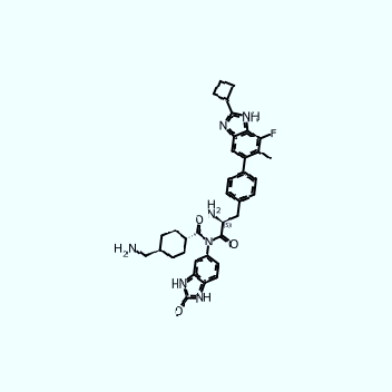 Cc1c(-c2ccc(C[C@H](N)C(=O)N(c3ccc4[nH]c(=O)[nH]c4c3)C(=O)[C@H]3CC[C@H](CN)CC3)cc2)cc2nc(C3CCC3)[nH]c2c1F